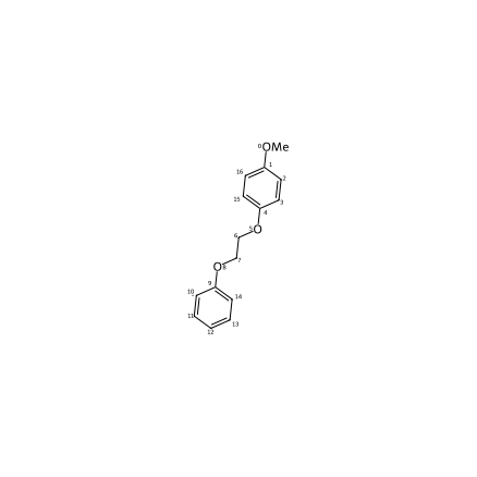 COc1ccc(OCCOc2[c]cccc2)cc1